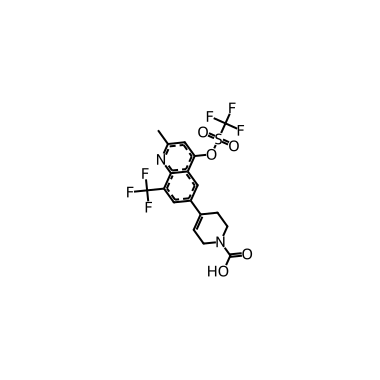 Cc1cc(OS(=O)(=O)C(F)(F)F)c2cc(C3=CCN(C(=O)O)CC3)cc(C(F)(F)F)c2n1